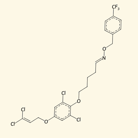 FC(F)(F)c1ccc(CON=CCCCCOc2c(Cl)cc(OCC=C(Cl)Cl)cc2Cl)cc1